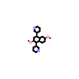 COc1ccc2c(-c3cccnc3)c(OC)cc(-c3cccnc3)c2c1